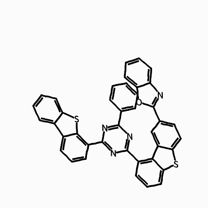 c1ccc(-c2nc(-c3cccc4c3sc3ccccc34)nc(-c3cccc4sc5ccc(-c6nc7ccccc7o6)cc5c34)n2)cc1